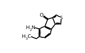 CCc1ccc2c(c1N)C(=O)c1cscc1-2